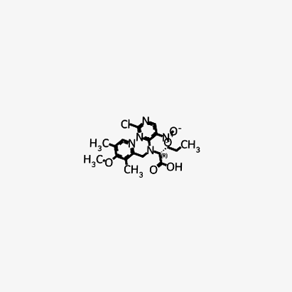 CCC[C@H](C(=O)O)N(Cc1ncc(C)c(OC)c1C)c1nc(Cl)ncc1[N+](=O)[O-]